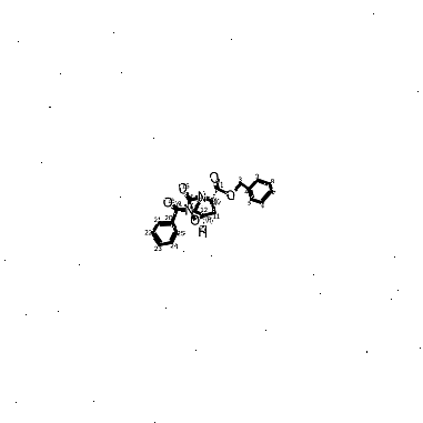 O=C(OCc1ccccc1)[C@@H]1C[C@@H]2CN1C(=O)N(C(=O)c1ccccc1)O2